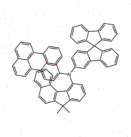 CC1(C)c2cccc(N(c3ccc(-c4cccc5cccc(-c6ccccc6)c45)cc3)c3ccc4c(c3)-c3ccccc3C43c4ccccc4-c4ccccc43)c2-c2c1ccc1ccccc21